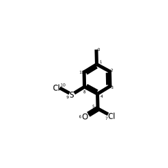 Cc1ccc(C(=O)Cl)c(SCl)c1